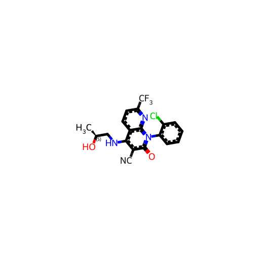 C[C@H](O)CNc1c(C#N)c(=O)n(-c2ccccc2Cl)c2nc(C(F)(F)F)ccc12